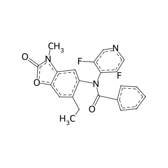 CCc1cc2oc(=O)n(C)c2cc1N(C(=O)c1ccccc1)c1c(F)cncc1F